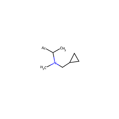 CC(=O)C(C)N(C)CC1CC1